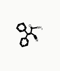 N#CC(C(N)=O)=C(c1ccccc1)c1ccccc1